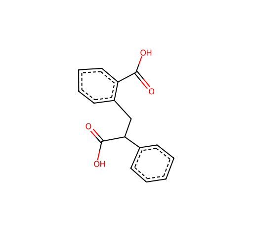 O=C(O)c1ccccc1CC(C(=O)O)c1ccccc1